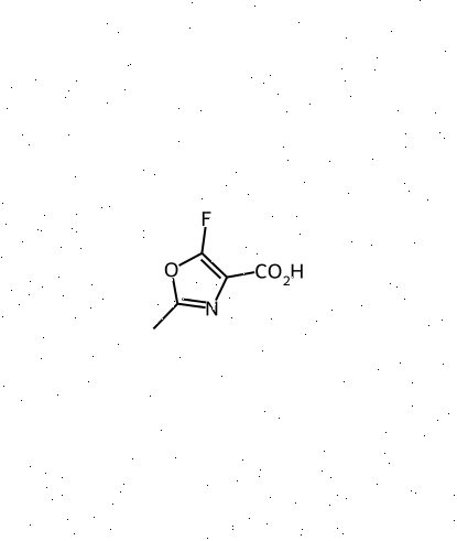 Cc1nc(C(=O)O)c(F)o1